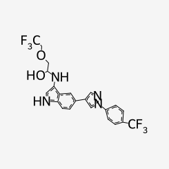 OC(COCC(F)(F)F)Nc1c[nH]c2ccc(-c3cnn(-c4ccc(C(F)(F)F)cc4)c3)cc12